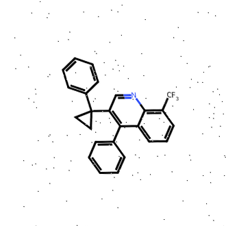 FC(F)(F)c1cccc2c(-c3ccccc3)c(C3(c4ccccc4)CC3)cnc12